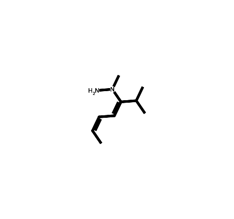 C/C=C\C=C(\C(C)C)N(C)N